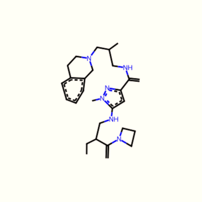 C=C(NCC(C)CN1CCc2ccccc2C1)c1cc(NCC(CC)C(=C)N2CCC2)n(C)n1